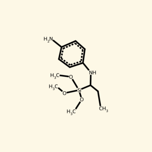 CCC(Nc1ccc(N)cc1)[Si](OC)(OC)OC